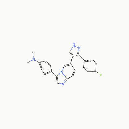 CN(C)c1ccc(-c2cnc3ccc(-c4c[nH]nc4-c4ccc(F)cc4)cn23)cc1